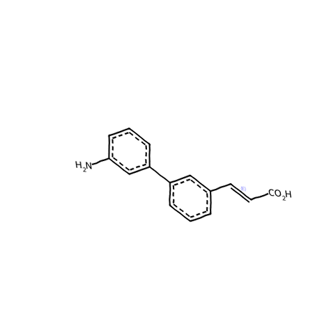 Nc1cccc(-c2cccc(/C=C/C(=O)O)c2)c1